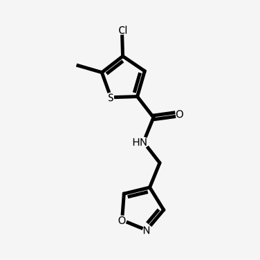 Cc1sc(C(=O)NCc2cnoc2)cc1Cl